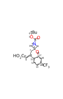 CC(C)(C)OC(=O)N1CC2(CC(=CC(=O)O)c3ccc(C(F)(F)F)cc3O2)C1